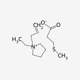 C=CC[N+]1(CC)CCCC1.CSCCC(=O)[O-]